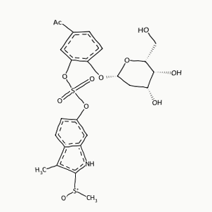 CC(=O)c1ccc(O[C@H]2C[C@@H](O)[C@@H](O)[C@@H](CO)O2)c(OS(=O)(=O)Oc2ccc3c(C)c([S+](C)[O-])[nH]c3c2)c1